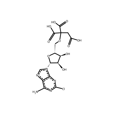 Nc1nc(Cl)nc2c1ncn2[C@@H]1O[C@H](COC(CC(=O)O)(C(=O)O)C(=O)O)[C@@H](O)[C@H]1O